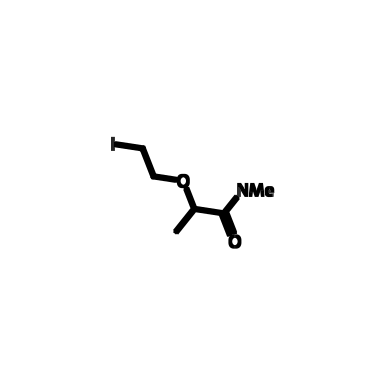 CNC(=O)C(C)OCCI